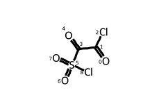 O=C(Cl)C(=O)S(=O)(=O)Cl